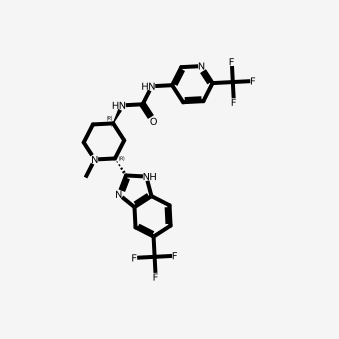 CN1CC[C@@H](NC(=O)Nc2ccc(C(F)(F)F)nc2)C[C@@H]1c1nc2cc(C(F)(F)F)ccc2[nH]1